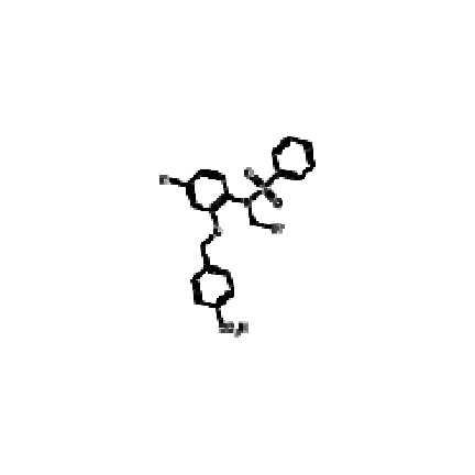 CC(C)CN(c1ccc(Cl)cc1OCc1ccc(C(=O)O)cc1)S(=O)(=O)c1ccccc1